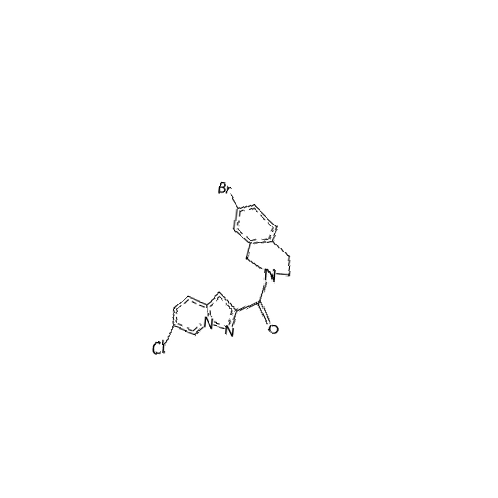 O=C(c1cc2ccc(Cl)cn2n1)N1CCc2ccc(Br)cc2C1